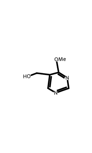 COc1ncncc1CO